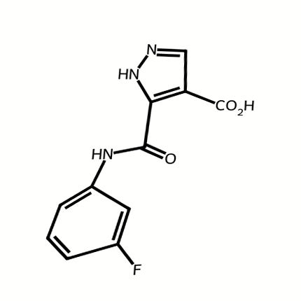 O=C(O)c1cn[nH]c1C(=O)Nc1cccc(F)c1